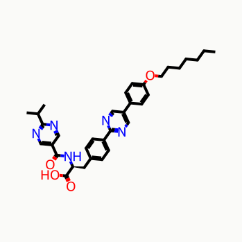 CCCCCCCOc1ccc(-c2cnc(-c3ccc(C[C@H](NC(=O)c4cnc(C(C)C)nc4)C(=O)O)cc3)nc2)cc1